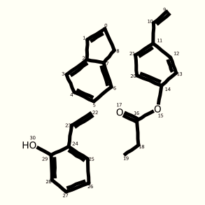 C1=Cc2ccccc2C1.C=Cc1ccc(OC(=O)CC)cc1.C=Cc1ccccc1O